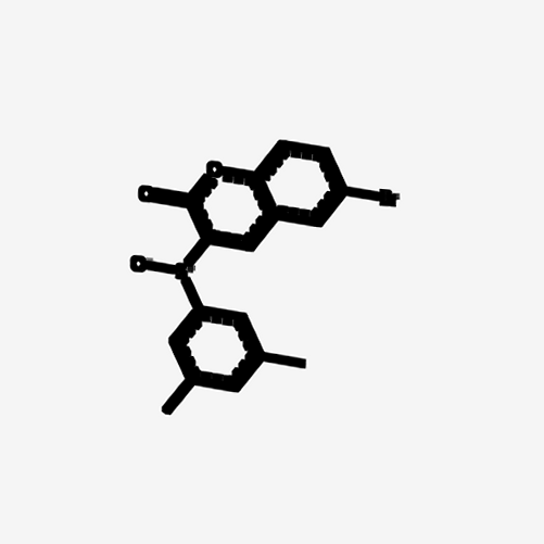 Cc1cc(C)cc([S+]([O-])c2cc3cc(Br)ccc3oc2=O)c1